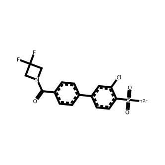 CCCS(=O)(=O)c1ccc(-c2ccc(C(=O)N3CC(F)(F)C3)cc2)cc1Cl